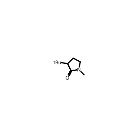 CN1CCC(C(C)(C)C)C1=O